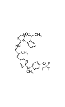 CC(/C=N\N=C1/SCC(=O)N1c1ccccc1C(C)C)=C\c1cnc(N(C)c2ccc(OC(F)(F)F)cc2)nc1